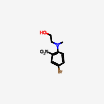 CN(CCO)c1ccc(Br)cc1[N+](=O)[O-]